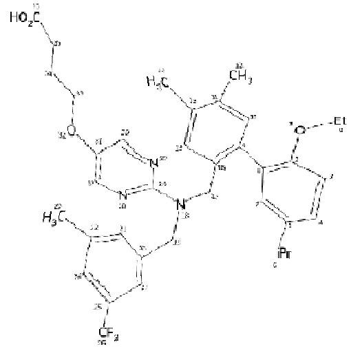 CCOc1ccc(C(C)C)cc1-c1cc(C)c(C)cc1CN(Cc1cc(C)cc(C(F)(F)F)c1)c1ncc(OCCCC(=O)O)cn1